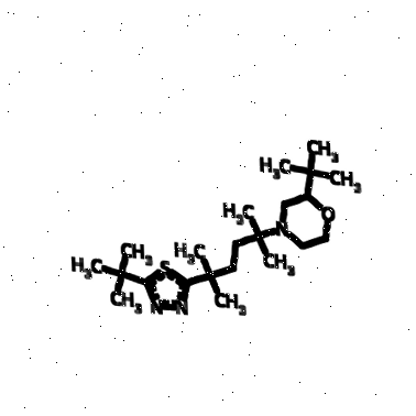 CC(C)(C)c1nnc(C(C)(C)CCC(C)(C)N2CCOC(C(C)(C)C)C2)s1